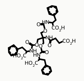 O=C(O)CCC(=O)NC(COC(=O)NC(Cc1ccccc1)C(=O)O)(COC(=O)NC(Cc1ccccc1)C(=O)O)COC(=O)NC(Cc1ccccc1)C(=O)O